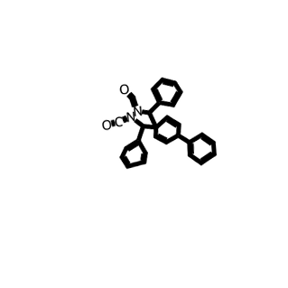 O=C=NC(c1ccccc1)C1(C(N=C=O)c2ccccc2)C=CC(c2ccccc2)C=C1